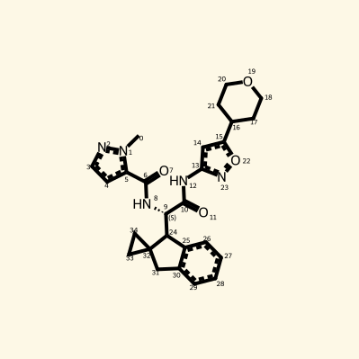 Cn1nccc1C(=O)N[C@H](C(=O)Nc1cc(C2CCOCC2)on1)C1c2ccccc2CC12CC2